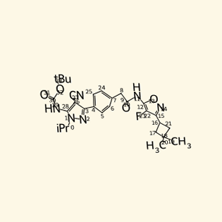 CC(C)n1nc(-c2ccc(CC(=O)Nc3onc(C4CC(C)(C)C4)c3F)cc2)c(C#N)c1NC(=O)OC(C)(C)C